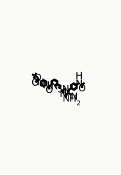 CC(=O)Nc1ccc(-c2nc(SCc3cccc(C(=O)N4CCN(C(=O)OC(C)(C)C)CC4)n3)nc(N)c2C#N)cc1